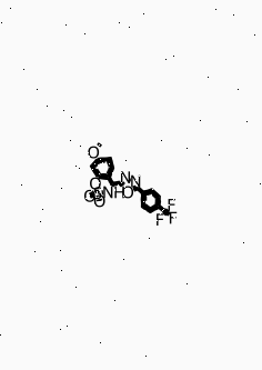 COc1ccc2c(c1)OS(=O)(=O)NC2c1nnc(-c2ccc(C(F)(F)F)cc2)o1